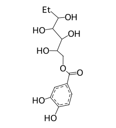 CCC(O)C(O)C(O)C(O)COC(=O)c1ccc(O)c(O)c1